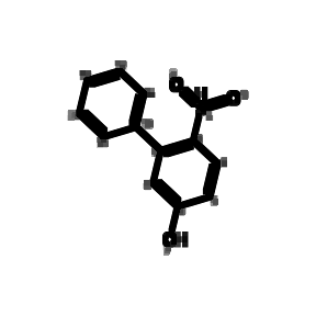 O=[SH](=O)c1ccc(O)cc1-c1ccccc1